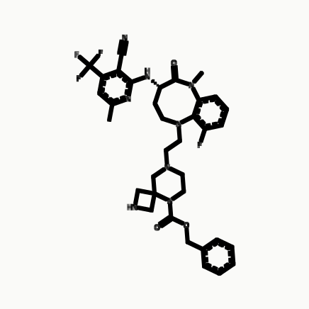 Cc1cc(C(F)(F)F)c(C#N)c(N[C@H]2CCN(CCN3CCN(C(=O)OCc4ccccc4)C4(CNC4)C3)c3c(F)cccc3N(C)C2=O)n1